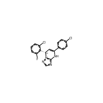 Fc1cccc(Cl)c1[C@@H]1C=C(c2ccc(Cl)cc2)Nc2ncnn21